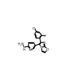 NNc1ccc(-c2c(-c3ccc(Cl)cc3F)nc3occn23)cn1